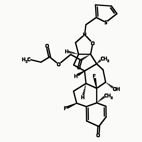 CCC(=O)OCC(=O)[C@@]12ON(Cc3cccs3)C[C@@H]1C[C@H]1[C@@H]3C[C@H](F)C4=CC(=O)C=C[C@]4(C)[C@@]3(F)[C@@H](O)C[C@@]12C